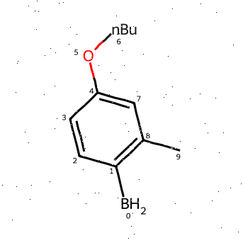 Bc1ccc(OCCCC)cc1C